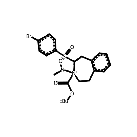 CN(C)[N+]1(C(=O)OC(C)(C)C)CCc2ccccc2CC1S(=O)(=O)c1ccc(Br)cc1